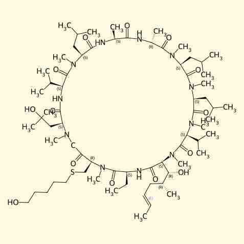 C/C=C/C[C@@H](C)[C@@H](O)[C@H]1C(=O)N[C@@H](CC)C(=O)N(C)[C@@H](CSCCCCCO)C(=O)CN(C)[C@@H](CC(C)(C)O)C(=O)N[C@@H](C(C)C)C(=O)N(C)[C@@H](CC(C)C)C(=O)N[C@@H](C)C(=O)N[C@H](C)C(=O)N(C)[C@@H](CC(C)C)C(=O)N(C)[C@@H](CC(C)C)C(=O)N(C)[C@@H](C(C)C)C(=O)N1C